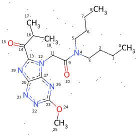 CCCCN(CCCC)C(=O)Cn1c(C(=O)C(C)C)nc2nnc(OC)nc21